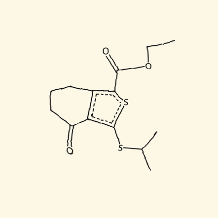 CCOC(=O)c1sc(SC(C)C)c2c1CCCC2=O